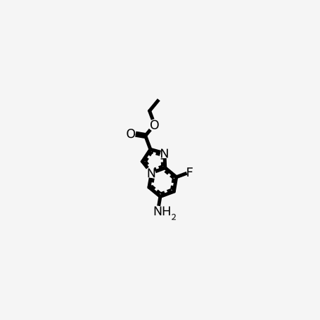 CCOC(=O)c1cn2cc(N)cc(F)c2n1